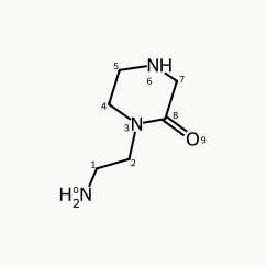 NCCN1CCNCC1=O